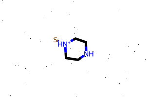 [S-][NH+]1CCNCC1